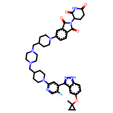 CC1(Oc2ccc3[nH]nc(-c4cc(N5CCC(CN6CCN(CC7CCN(c8ccc9c(c8)C(=O)N(C8CCC(=O)NC8=O)C9=O)CC7)CC6)CC5)ncc4F)c3c2)CC1